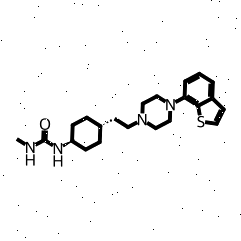 CNC(=O)N[C@H]1CC[C@H](CCN2CCN(c3cccc4ccsc34)CC2)CC1